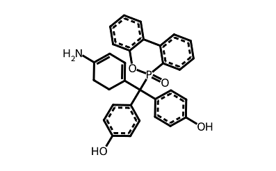 NC1=CC=C(C(c2ccc(O)cc2)(c2ccc(O)cc2)P2(=O)Oc3ccccc3-c3ccccc32)CC1